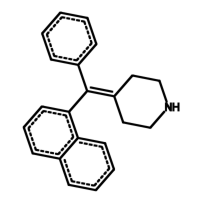 c1ccc(C(=C2CCNCC2)c2cccc3ccccc23)cc1